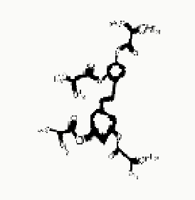 C=C(C)C(=O)Oc1cc(/C=C/c2ccc(OC(=O)C(=C)C)cc2OC(=O)C(=C)C)cc(OC(=O)C(=C)C)c1